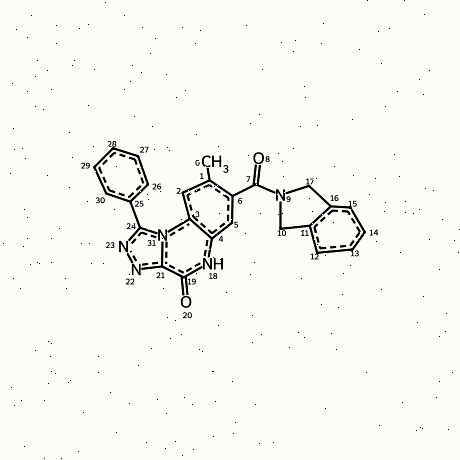 Cc1cc2c(cc1C(=O)N1Cc3ccccc3C1)[nH]c(=O)c1nnc(-c3ccccc3)n12